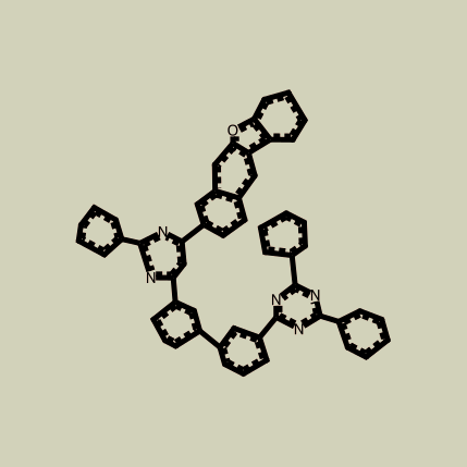 c1ccc(-c2nc(-c3cccc(-c4cccc(-c5nc(-c6ccccc6)nc(-c6ccccc6)n5)c4)c3)cc(-c3ccc4cc5c(cc4c3)oc3ccccc35)n2)cc1